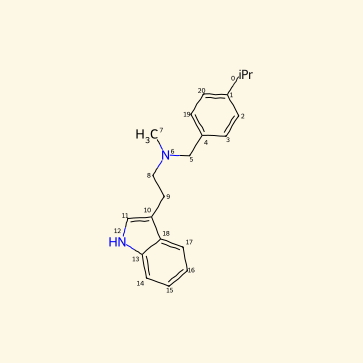 CC(C)c1ccc(CN(C)CCc2c[nH]c3ccccc23)cc1